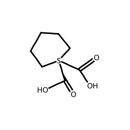 O=C(O)S1(C(=O)O)CCCCC1